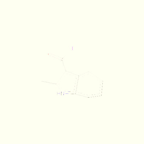 Cc1[nH]c2ccccc2c1C(=O)I